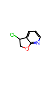 ClC1COc2ncccc21